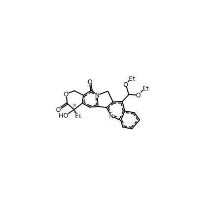 CCOC(OCC)c1c2c(nc3ccccc13)-c1cc3c(c(=O)n1C2)COC(=O)[C@]3(O)CC